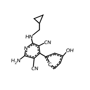 N#Cc1c(N)nc(NCC2CC2)c(C#N)c1-c1cccc(O)c1